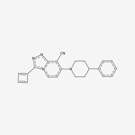 N#Cc1c(N2CCC(c3ccccc3)CC2)ccn2c(C3=CC=C3)nnc12